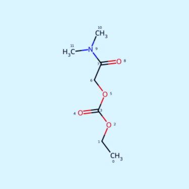 CCOC(=O)OCC(=O)N(C)C